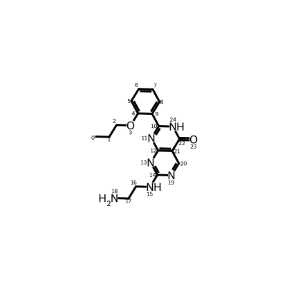 CCCOc1ccccc1-c1nc2nc(NCCN)ncc2c(=O)[nH]1